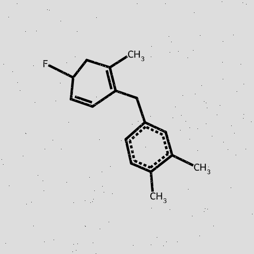 CC1=C(Cc2ccc(C)c(C)c2)C=CC(F)C1